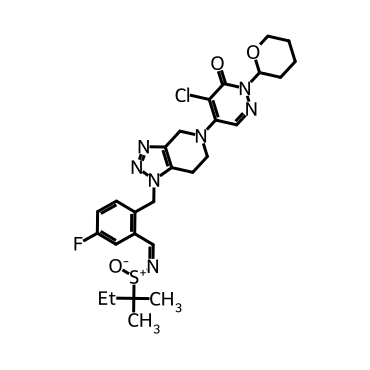 CCC(C)(C)[S+]([O-])/N=C\c1cc(F)ccc1Cn1nnc2c1CCN(c1cnn(C3CCCCO3)c(=O)c1Cl)C2